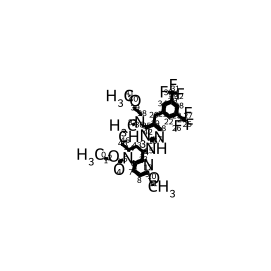 CCOC(=O)N1c2ccc(OC)nc2C(Nc2ncc(Cc3cc(C(F)(F)F)cc(C(F)(F)F)c3)c(N(C)CCOC)n2)CC1CC